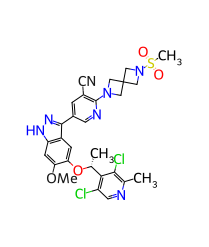 COc1cc2[nH]nc(-c3cnc(N4CC5(C4)CN(S(C)(=O)=O)C5)c(C#N)c3)c2cc1O[C@H](C)c1c(Cl)cnc(C)c1Cl